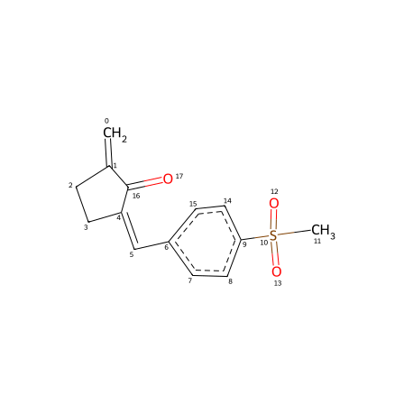 C=C1CCC(=Cc2ccc(S(C)(=O)=O)cc2)C1=O